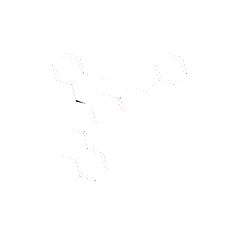 Cc1c(O)cccc1C(=O)N[C@@H](Cc1ccccc1)[C@H](O)C(=O)OCc1ccccc1